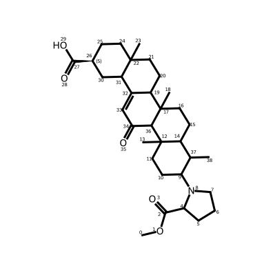 COC(=O)C1CCCN1C1CCC2(C)C(CCC3(C)C4CCC5(C)CC[C@H](C(=O)O)CC5C4=CC(=O)C32)C1C